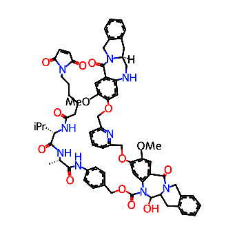 COc1cc2c(cc1OCc1cccc(COc3cc4c(cc3OC)C(=O)N3Cc5ccccc5CC3C(O)N4C(=O)OCc3ccc(NC(=O)[C@H](C)NC(=O)[C@@H](NC(=O)CCCCCN4C(=O)C=CC4=O)C(C)C)cc3)n1)NC[C@@H]1Cc3ccccc3CN1C2=O